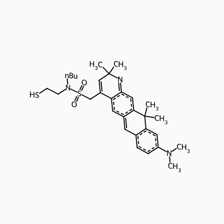 CCCCN(CCS)S(=O)(=O)CC1=CC(C)(C)N=c2cc3c(cc21)=Cc1ccc(N(C)C)cc1C3(C)C